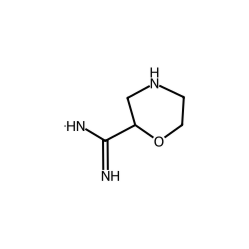 [NH]C(=N)C1CNCCO1